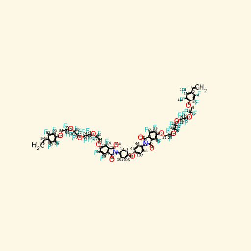 C=Cc1c(F)c(F)c(OCC(F)(F)OC(F)(F)C(F)(F)OC(F)(F)C(F)(F)OC(F)(F)COc2c(F)c(F)c3c(c2F)C(=O)N(c2ccc(Oc4ccc(N5C(=O)c6c(F)c(F)c(OCC(F)(F)OC(F)(F)C(F)(F)OC(F)(F)C(F)(F)OC(F)(F)COc7c(F)c(F)c(C=C)c(F)c7F)c(F)c6C5=O)cc4)cc2)C3=O)c(F)c1F